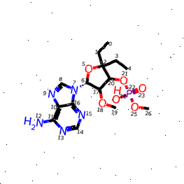 CCC1(CC)O[C@@H](n2cnc3c(N)ncnc32)C(OC)C1OP(=O)(O)OC